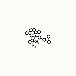 CC1(C)C2=C(CCC(N(c3ccc(-c4ccc(-c5ccccc5-c5ccccc5)cc4)cc3)c3c(C4=C=C=CC(c5ccccc5-c5ccccc5)=C4)c4ccccc4c4ccccc34)=C2)c2ccccc21